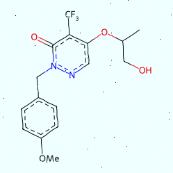 COc1ccc(Cn2ncc(OC(C)CO)c(C(F)(F)F)c2=O)cc1